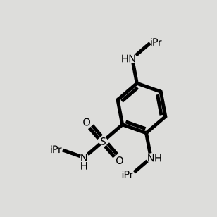 CC(C)Nc1ccc(NC(C)C)c(S(=O)(=O)NC(C)C)c1